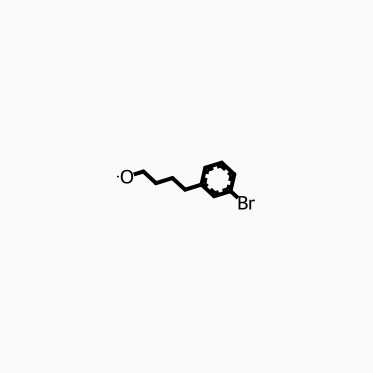 [O]CCCCc1cccc(Br)c1